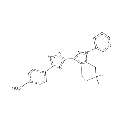 CC1(C)CCc2c(-c3nc(-c4ccc(C(=O)O)cc4)no3)nn(-c3ccccc3)c2C1